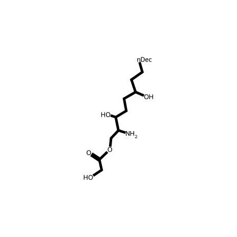 CCCCCCCCCCCCC(O)CCC(O)C(N)COC(=O)CO